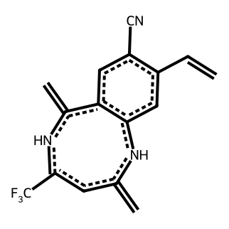 C=Cc1cc2[nH]c(=C)cc(C(F)(F)F)[nH]c(=C)c2cc1C#N